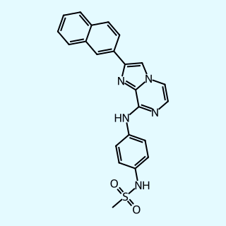 CS(=O)(=O)Nc1ccc(Nc2nccn3cc(-c4ccc5ccccc5c4)nc23)cc1